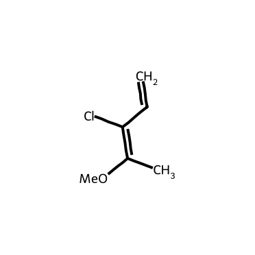 C=C/C(Cl)=C(\C)OC